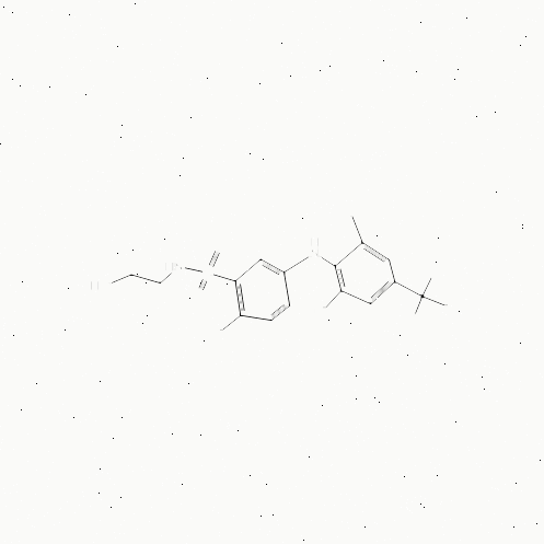 O=S(=O)(NCCO)c1cc(Nc2c(Cl)cc(C(F)(F)F)cc2Cl)ccc1Cl